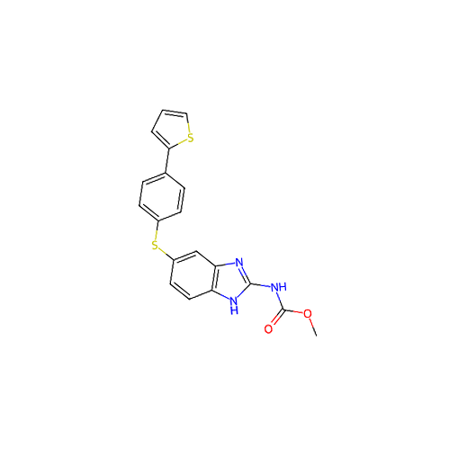 COC(=O)Nc1nc2cc(Sc3ccc(-c4cccs4)cc3)ccc2[nH]1